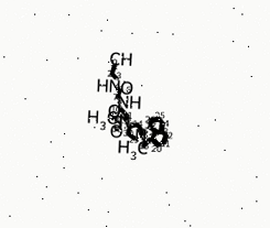 C#CCCNC(=O)CNC(=O)CN(C1CCN(C(C)c2cccc3ccccc23)CC1)[S+](C)[O-]